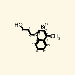 Cc1cc[n+](CCCO)c2ccccc12.[Br-]